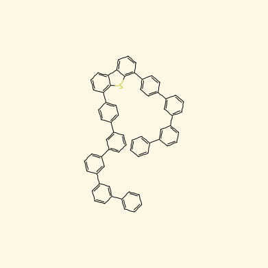 c1ccc(-c2cccc(-c3cccc(-c4ccc(-c5cccc6c5sc5c(-c7ccc(-c8cccc(-c9cccc(-c%10cccc(-c%11ccccc%11)c%10)c9)c8)cc7)cccc56)cc4)c3)c2)cc1